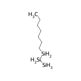 CCCCCCC[SiH2][SiH2][SiH3]